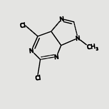 CN1C=NC2C(Cl)=NC(Cl)=NC21